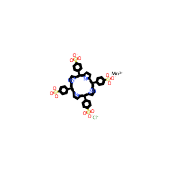 O=S(=O)([O-])c1ccc(-c2c3nc(c(-c4ccc(S(=O)(=O)[O-])cc4)c4ccc([nH]4)c(-c4ccc(S(=O)(=O)[O-])cc4)c4nc(c(-c5ccc(S(=O)(=O)[O-])cc5)c5ccc2[nH]5)C=C4)C=C3)cc1.[Cl-].[Mn+3]